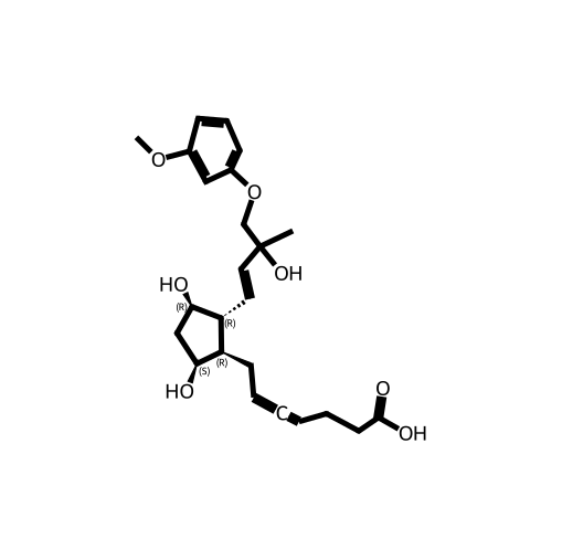 COc1cccc(OCC(C)(O)C=C[C@@H]2[C@@H](CC=C=CCCC(=O)O)[C@@H](O)C[C@H]2O)c1